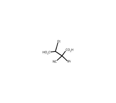 CCC(C(=O)O)C(C#N)(C(=O)O)C(C)C